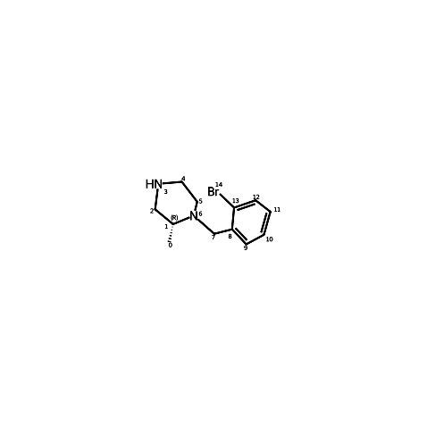 C[C@@H]1CNCCN1Cc1ccccc1Br